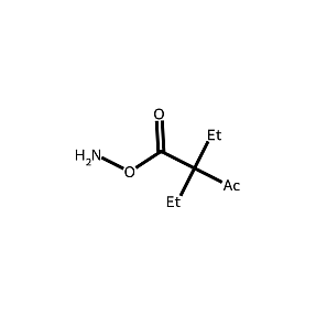 CCC(CC)(C(C)=O)C(=O)ON